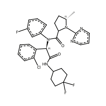 C[C@H]1CCC(C(=O)N(c2cccc(F)c2)[C@@H](C(=O)NC2CCC(F)(F)CC2)c2ccccc2Cl)N1c1ncccn1